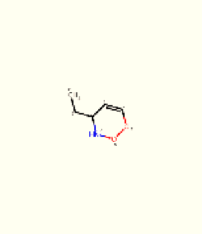 C[CH]C1C=COON1